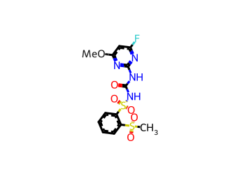 COc1cc(F)nc(NC(=O)NS(=O)(=O)c2ccccc2S(C)(=O)=O)n1